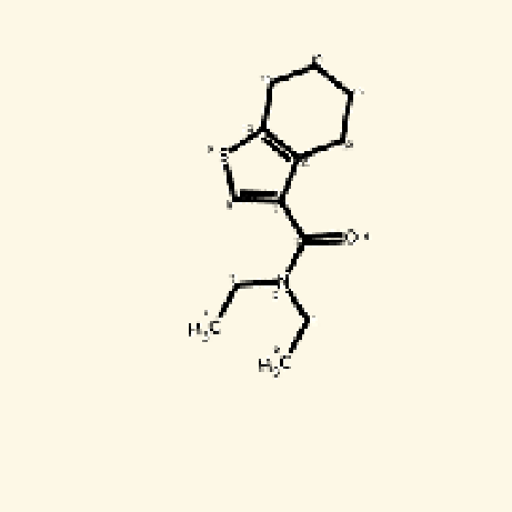 CCN(CC)C(=O)c1[c]sc2c1CCCC2